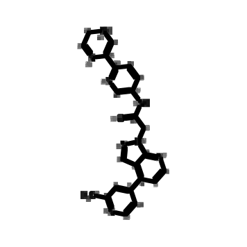 Cc1cc(-c2ccnc3c2cnn3CC(=O)Nc2ccc(C3=CNCC=N3)nc2)ccn1